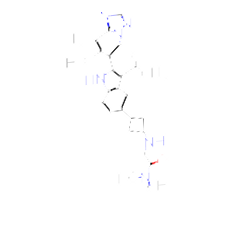 Cc1c(-c2[nH]c3ccc(C4CC(NCC(=O)N(C)C)C4)cc3c2C(C)C)cn2ncnc2c1C